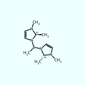 CB(N1C=CN(C)[C@H]1C)N1C=CN(C)[C@@H]1C